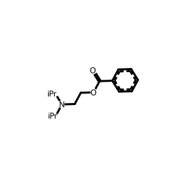 CC(C)N(CCOC(=O)c1ccccc1)C(C)C